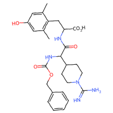 Cc1cc(O)cc(C)c1CC(NC(=O)C(NC(=O)OCc1ccccc1)C1CCN(C(=N)N)CC1)C(=O)O